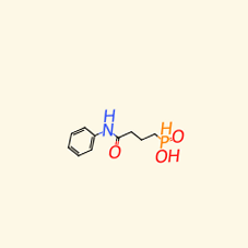 O=C(CCC[PH](=O)O)Nc1ccccc1